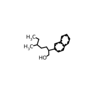 CCC(C)CCC(CO)c1ccc2ccccc2c1